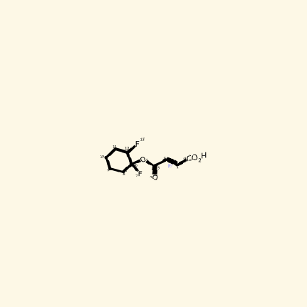 O=C(O)/C=C/C(=O)OC1(F)CCCCC1F